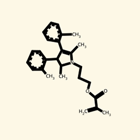 C=C(C)C(=O)OCCCN1C(C)=C(c2ccccc2C)C(c2ccccc2C)C1C